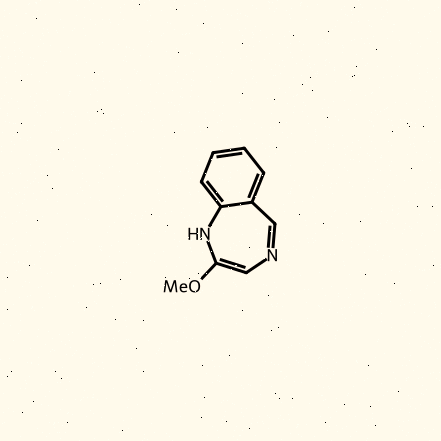 COC1=CN=Cc2ccccc2N1